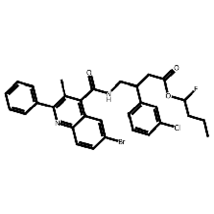 CCCC(F)OC(=O)CC(CNC(=O)c1c(C)c(-c2ccccc2)nc2ccc(Br)cc12)c1cccc(Cl)c1